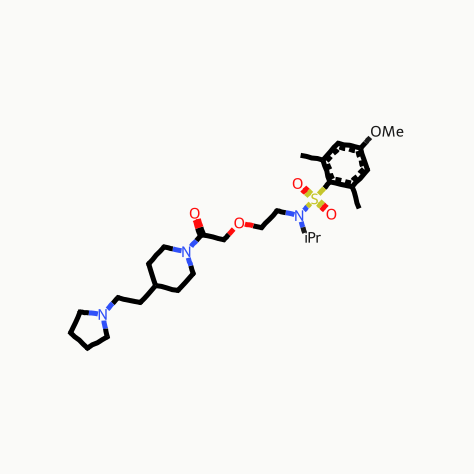 COc1cc(C)c(S(=O)(=O)N(CCOCC(=O)N2CCC(CCN3CCCC3)CC2)C(C)C)c(C)c1